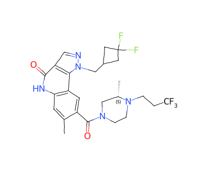 Cc1cc2[nH]c(=O)c3cnn(CC4CC(F)(F)C4)c3c2cc1C(=O)N1CCN(CCC(F)(F)F)[C@@H](C)C1